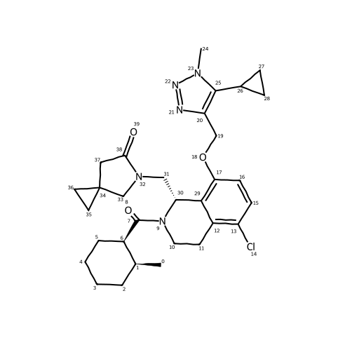 C[C@H]1CCCC[C@H]1C(=O)N1CCc2c(Cl)ccc(OCc3nnn(C)c3C3CC3)c2[C@H]1CN1CC2(CC2)CC1=O